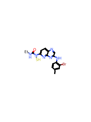 CCNC(=O)N(S)c1ccc2ncc(Nc3ccc(C)cc3Br)nc2n1